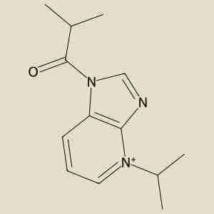 CC(C)C(=O)n1cnc2c1ccc[n+]2C(C)C